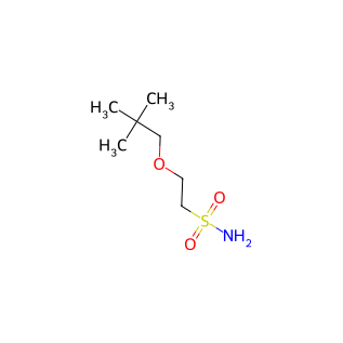 CC(C)(C)COCCS(N)(=O)=O